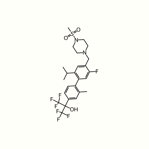 Cc1cc(C(O)(C(F)(F)F)C(F)(F)F)ccc1-c1cc(F)c(CN2CCN(S(C)(=O)=O)CC2)cc1C(C)C